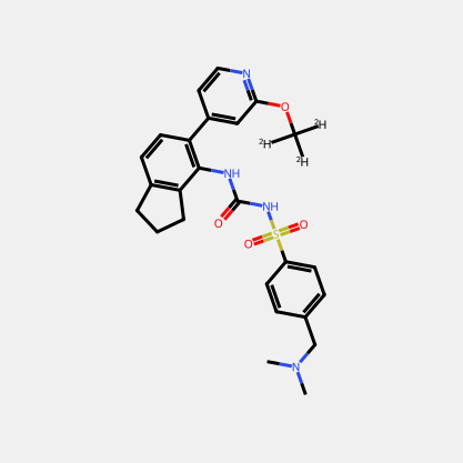 [2H]C([2H])([2H])Oc1cc(-c2ccc3c(c2NC(=O)NS(=O)(=O)c2ccc(CN(C)C)cc2)CCC3)ccn1